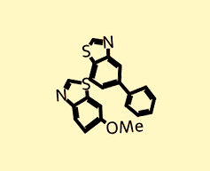 COc1ccc2ncsc2c1.c1ccc(-c2ccc3scnc3c2)cc1